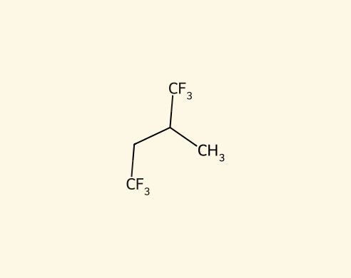 CC(CC(F)(F)F)C(F)(F)F